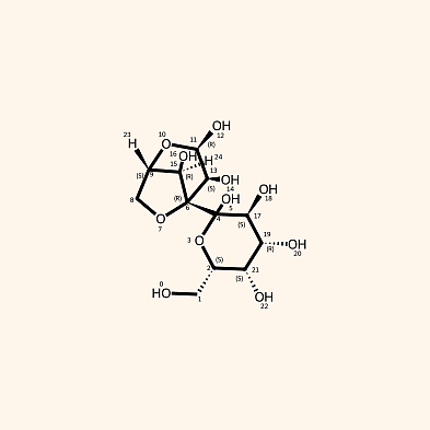 OC[C@@H]1OC(O)([C@]23OC[C@H](O[C@@H](O)[C@H]2O)[C@H]3O)[C@@H](O)[C@H](O)[C@@H]1O